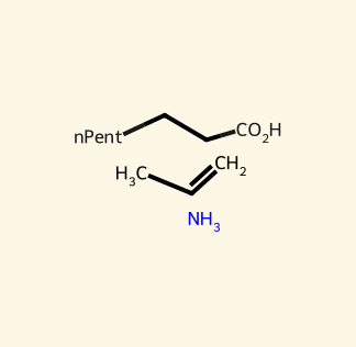 C=CC.CCCCCCCC(=O)O.N